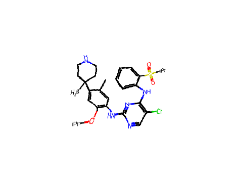 BC1(c2cc(OC(C)C)c(Nc3ncc(Cl)c(Nc4ccccc4S(=O)(=O)C(C)C)n3)cc2C)CCNCC1